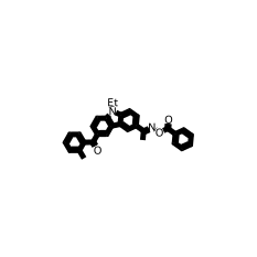 CCn1c2ccc(C(=O)c3ccccc3C)cc2c2cc(C(C)=NOC(=O)c3ccccc3)ccc21